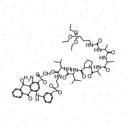 CCO[Si](CCCNC(=O)NC(C)C(=O)NC(C)C(=O)NC(C)C(=O)N1CCCC1C(=O)NC(C(=O)NC(C(=O)NCCS(=O)(=O)c1cccc(Nc2cc(S(=O)(=O)O)c(N)c3c2C(=O)c2ccccc2C3=O)c1)C(C)C)C(C)C)(OCC)OCC